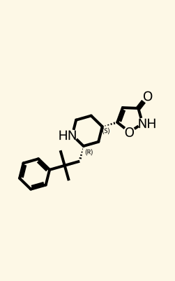 CC(C)(C[C@H]1C[C@@H](c2cc(=O)[nH]o2)CCN1)c1ccccc1